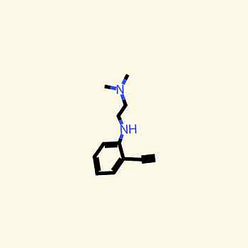 C#Cc1ccccc1NCCN(C)C